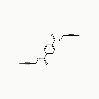 CC#CCOC(=O)c1ccc(C(=O)OCC#CC)cc1